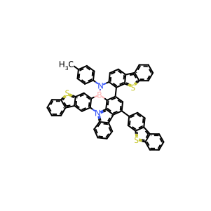 Cc1ccc(N2B3c4cc5sc6ccccc6c5cc4-n4c5ccccc5c5c(-c6ccc7c(c6)sc6ccccc67)cc(c3c54)-c3c2ccc2c3sc3ccccc32)cc1